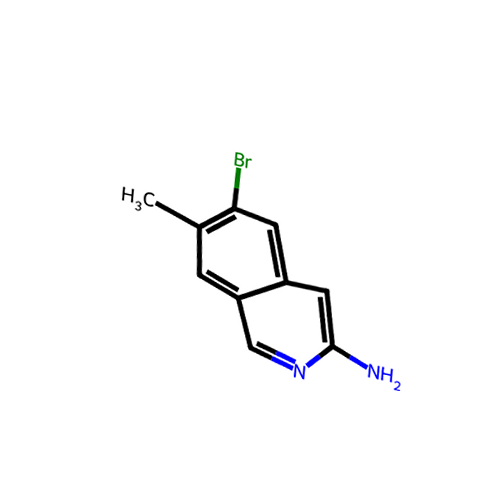 Cc1cc2cnc(N)cc2cc1Br